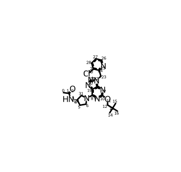 CC(=O)N[C@H]1CCN(c2nc(OCC(C)(C)C)nc3c2nnn3Cc2ncccc2Cl)C1